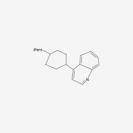 CCCC(C)C1CCC(c2ccnc3ccccc23)CC1